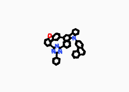 c1ccc(-c2nc(-c3ccccc3)nc(-c3cccc4oc5ccc(-c6ccc7c(c6)c6ccccc6n7-c6ccc7ccc8ccccc8c7c6)cc5c34)n2)cc1